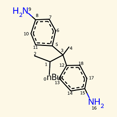 CCCCC(C)C(C)(c1ccc(N)cc1)c1ccc(N)cc1